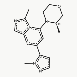 Cc1ncc2nc(-c3ccnn3C)cc(N3CCOC[C@H]3C)n12